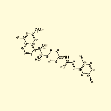 COc1cc(F)c2nccc([C@@H](O)[C@H](O)[C@H]3CC[C@H](NC(=O)/C=C/c4cc(F)ccc4F)CC3)c2c1